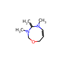 C=C1N(C)/C=C\COCN1C